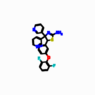 NC1=NC(c2cccnc2)(c2cccnc2)C(c2cc(Oc3c(F)cccc3F)ccn2)S1